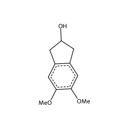 COc1cc2c(cc1OC)CC(O)C2